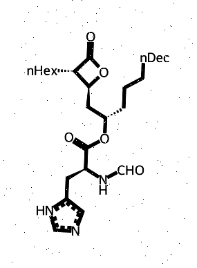 CCCCCCCCCCCCC[C@@H](C[C@@H]1OC(=O)[C@H]1CCCCCC)OC(=O)[C@H](Cc1cnc[nH]1)NC=O